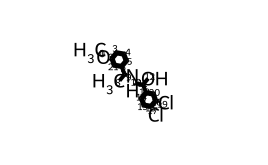 COc1cccc(C(C)NCC(O)c2ccc(Cl)c(Cl)c2)c1